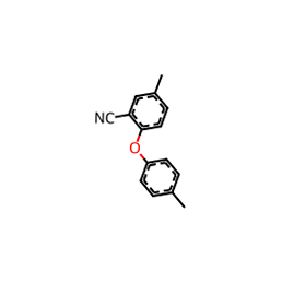 Cc1ccc(Oc2ccc(C)cc2C#N)cc1